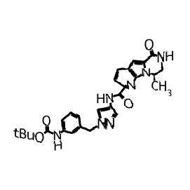 C[C@@H]1CNC(=O)c2cc3ccc(C(=O)Nc4cnn(Cc5cccc(NC(=O)OC(C)(C)C)c5)c4)nc3n21